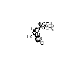 CC(C)(C)OC(=O)N1C[C@@H]2CC(O)(c3ccc(Cl)nc3)[C@@H]2C1